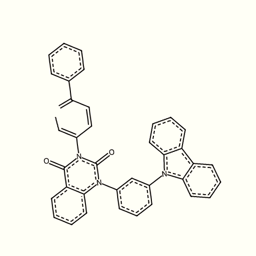 C=C(/C=C\C(=C/C)n1c(=O)c2ccccc2n(-c2cccc(-n3c4ccccc4c4ccccc43)c2)c1=O)c1ccccc1